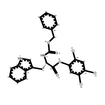 O=C(N[C@@H](Cc1c[nH]c2ccccc12)C(=O)Oc1cc(Cl)c(Cl)cc1Cl)OCc1ccccc1